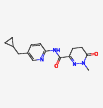 CN1N=C(C(=O)Nc2ccc(CC3CC3)cn2)CCC1=O